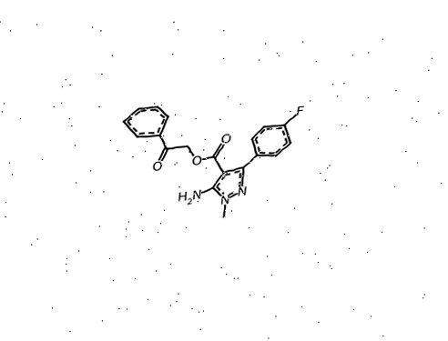 Cn1nc(-c2ccc(F)cc2)c(C(=O)OCC(=O)c2ccccc2)c1N